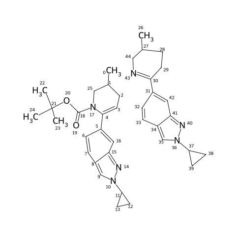 CC1CC=C(c2ccc3cn(C4CC4)nc3c2)N(C(=O)OC(C)(C)C)C1.CC1CCC(c2ccc3cn(C4CC4)nc3c2)=NC1